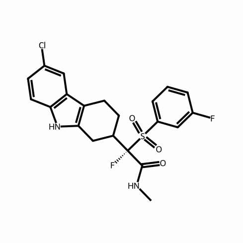 CNC(=O)[C@@](F)(C1CCc2c([nH]c3ccc(Cl)cc23)C1)S(=O)(=O)c1cccc(F)c1